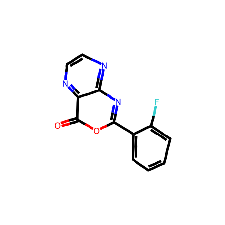 O=c1oc(-c2ccccc2F)nc2nccnc12